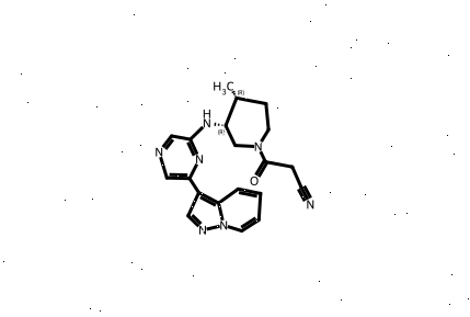 C[C@@H]1CCN(C(=O)CC#N)C[C@@H]1Nc1cncc(-c2cnn3ccccc23)n1